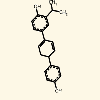 CC(C)c1cc(C2=CCC(c3ccc(O)cc3)C=C2)ccc1O